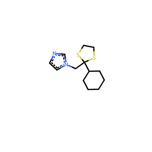 c1cn(CC2(C3CCCCC3)SCCS2)cn1